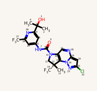 CC(C)(O)c1cc(NC(=O)N2C[C@@](C)(C(F)(F)F)c3c2cnc2cc(Cl)nn32)cc(C(F)(F)F)n1